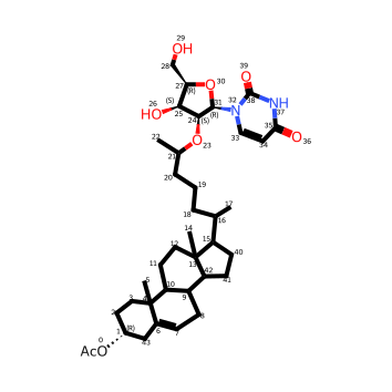 CC(=O)O[C@@H]1CCC2(C)C(=CCC3C2CCC2(C)C(C(C)CCCC(C)O[C@H]4[C@@H](O)[C@@H](CO)O[C@H]4n4ccc(=O)[nH]c4=O)CCC32)C1